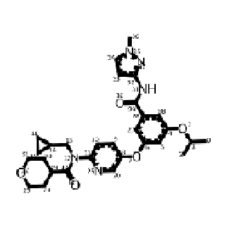 CC(C)Oc1cc(Oc2ccc(N(CC3CC3)C(=O)C3CCOCC3)nc2)cc(C(=O)Nc2ccn(C)n2)c1